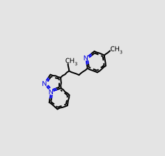 Cc1ccc(CC(C)c2cnn3ccccc23)nc1